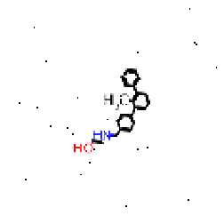 Cc1c(-c2ccccc2)cccc1-c1ccc(CNCCO)cc1